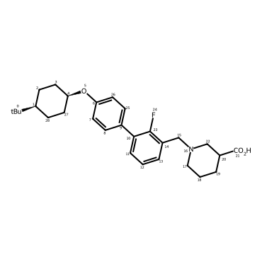 CC(C)(C)[C@H]1CC[C@@H](Oc2ccc(-c3cccc(CN4CCCC(C(=O)O)C4)c3F)cc2)CC1